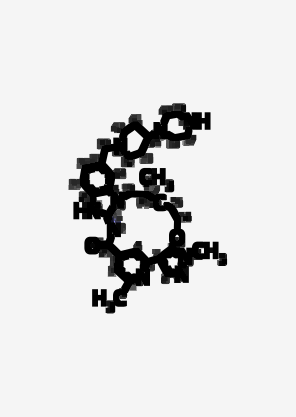 Cc1cc2cc(n1)-c1cnn(C)c1OCCC[C@@H](C)CN1/C(=N/C2=O)Nc2ccc(CN3CCC(N4CCNCC4)CC3)cc21